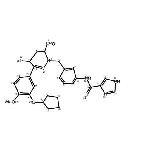 CCC1CC(C=O)N(Cc2cccc(NC(=O)c3c[nH]cn3)c2)N=C1c1ccc(OC)c(OC2CCCC2)c1